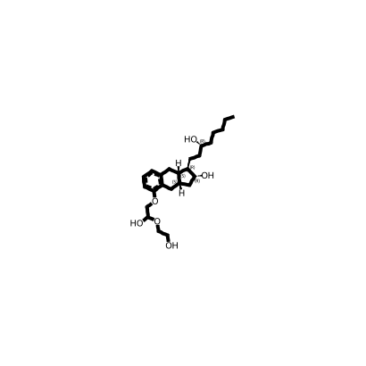 CCCCC[C@@H](O)CC[C@@H]1[C@H]2Cc3cccc(OCC(O)OCCO)c3C[C@H]2C[C@H]1O